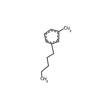 CCCCCc1cccc(C)c1